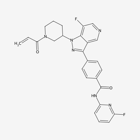 C=CC(=O)N1CCCC(n2nc(-c3ccc(C(=O)Nc4cccc(F)n4)cc3)c3cncc(F)c32)C1